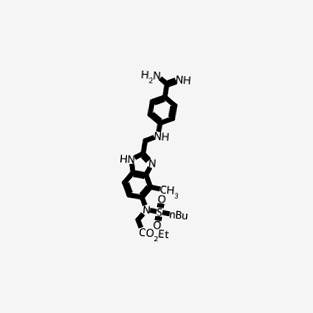 CCCCS(=O)(=O)N(CC(=O)OCC)c1ccc2[nH]c(CNc3ccc(C(=N)N)cc3)nc2c1C